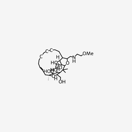 COCCNCC1OC2[C@H](O)[C@@H](O)C1CCCCCCCC/C=C\C[C@]1(C)O[C@H](CO)C([C@H](O)[C@H]1O)C2(C)C